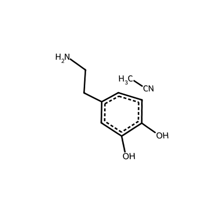 CC#N.NCCc1ccc(O)c(O)c1